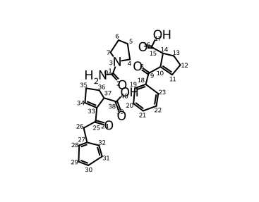 NC(=O)N1CCCC1.O=C(C1=CCCC1C(=O)O)c1ccccc1.O=C(Cc1ccccc1)C1=CCCC1C(=O)O